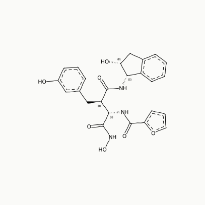 O=C(N[C@H](C(=O)NO)[C@@H](Cc1cccc(O)c1)C(=O)N[C@H]1c2ccccc2C[C@H]1O)c1ccco1